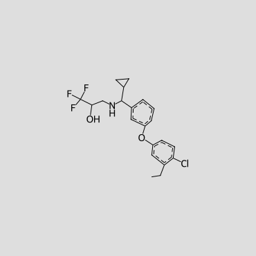 CCc1cc(Oc2cccc(C(NCC(O)C(F)(F)F)C3CC3)c2)ccc1Cl